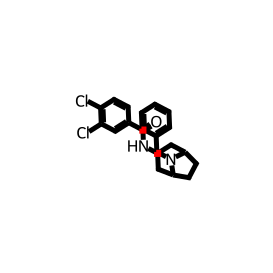 O=C(NC1CC2CCC(C1)N2Cc1ccccc1)c1ccc(Cl)c(Cl)c1